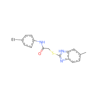 CCc1ccc(NC(=O)CSc2nc3ccc(C)cc3[nH]2)cc1